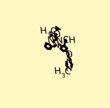 C#Cc1cc(OCCN2CCN(C)CC2)ccc1-c1nc2c(OC3(C)CC3)ncnc2n1Cc1ccccc1